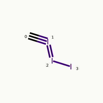 C#I=II